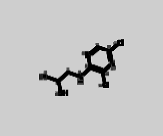 CC(C)C(O)CNc1ncc(Cl)nc1Cl